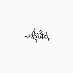 CCC/C=C\[C@H](C)N1CNn2cc(C(=O)NCc3c(F)cc(F)cc3F)c(=O)c(O)c2C1=O